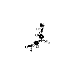 CN(SOc1ccc(OC[C@H](O)CCl)c(Cl)c1)c1ccc(OC[C@H](O)Cn2ccnc2)c(Cl)c1.S